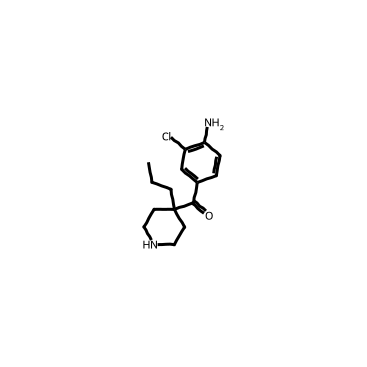 CCCC1(C(=O)c2ccc(N)c(Cl)c2)CCNCC1